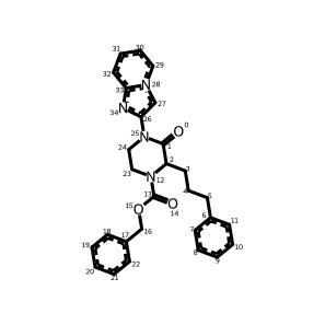 O=C1C(CCCc2ccccc2)N(C(=O)OCc2ccccc2)CCN1c1cn2ccccc2n1